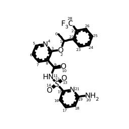 CC(Oc1ncccc1C(=O)NS(=O)(=O)c1cccc(N)n1)c1ccccc1C(F)(F)F